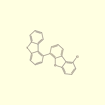 Clc1cccc2oc3c(-c4cccc5sc6ccccc6c45)cccc3c12